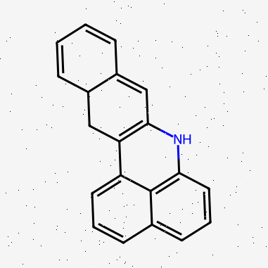 C1=CC2=CC3=C(CC2C=C1)c1cccc2cccc(c12)N3